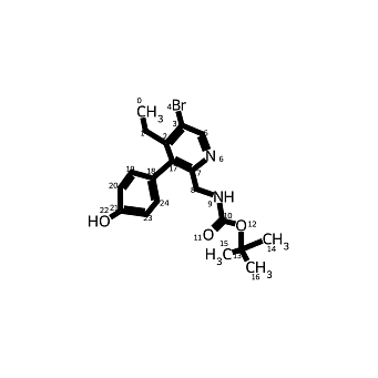 CCc1c(Br)cnc(CNC(=O)OC(C)(C)C)c1-c1ccc(O)cc1